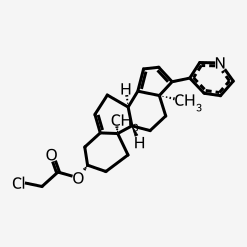 C[C@]12CC[C@H]3[C@@H](CC=C4C[C@@H](OC(=O)CCl)CC[C@@]43C)C1=CC=C2c1cccnc1